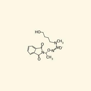 CC(O/N=[N+](/[O-])N(C)CCCCO)N1C(=O)c2ccccc2C1=O